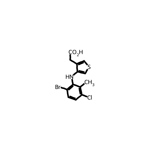 Cc1c(Cl)ccc(Br)c1Nc1cscc1CC(=O)O